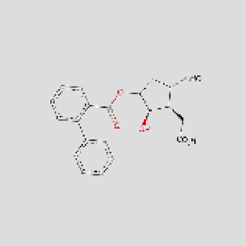 O=C[C@H]1CC(OC(=O)c2ccccc2-c2ccccc2)[C@H](O)[C@@H]1CC(=O)O